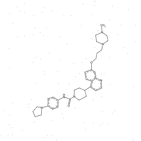 CN1CCN(CCCOc2ccc3c(C4CCN(C(=O)Nc5ccc(N6CCCC6)cc5)CC4)ccnc3c2)CC1